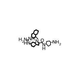 N=C(N)Nc1ccc2cc(C(=O)N[C@H]3CC[C@H](N)CC3)n(Cc3cccc4ccccc34)c2c1